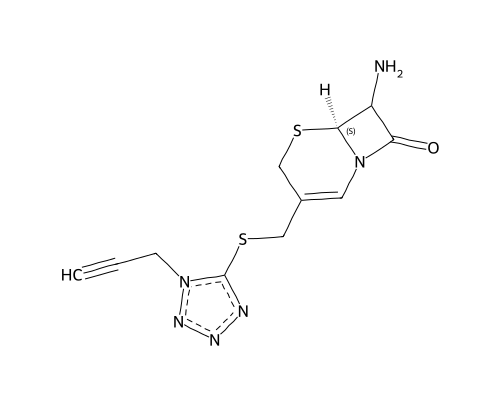 C#CCn1nnnc1SCC1=CN2C(=O)C(N)[C@@H]2SC1